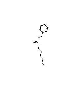 CCCCCCCCCCCCCCCOC(=O)NCc1ccccc1